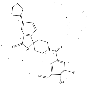 O=Cc1cc(C(=O)N2CCC3(CC2)OC(=O)c2cc(N4CCCC4)ccc23)cc(F)c1O